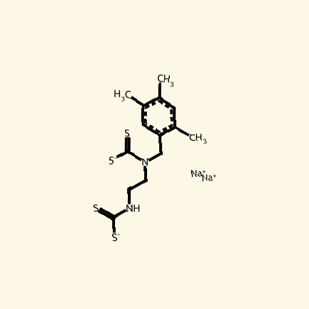 Cc1cc(C)c(CN(CCNC(=S)[S-])C(=S)[S-])cc1C.[Na+].[Na+]